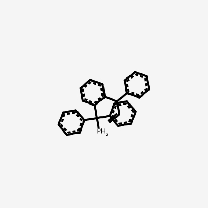 C=CC(c1ccccc1)c1ccccc1C(P)(c1ccccc1)c1ccccc1